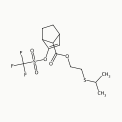 CC(C)SCCOC(=O)C1C2C=C(OS(=O)(=O)C(F)(F)F)C1CC2